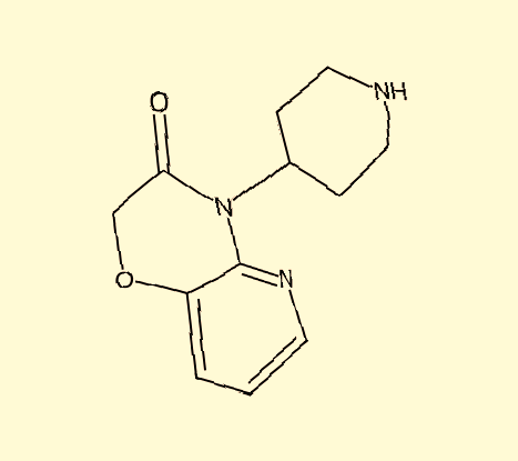 O=C1COc2cccnc2N1C1CCNCC1